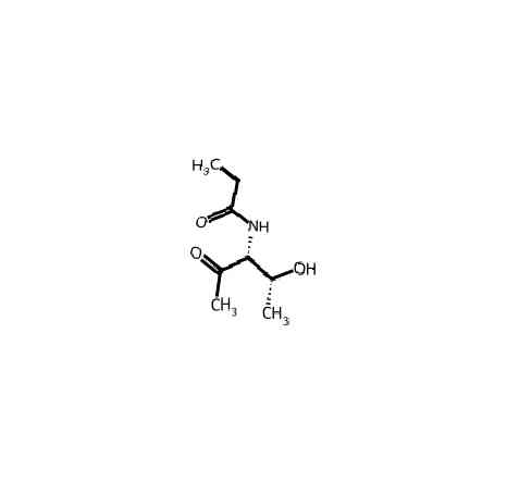 CCC(=O)N[C@@H](C(C)=O)[C@@H](C)O